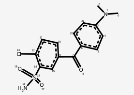 CN(C)c1ccc(C(=O)c2ccc(Cl)c(S(N)(=O)=O)c2)cc1